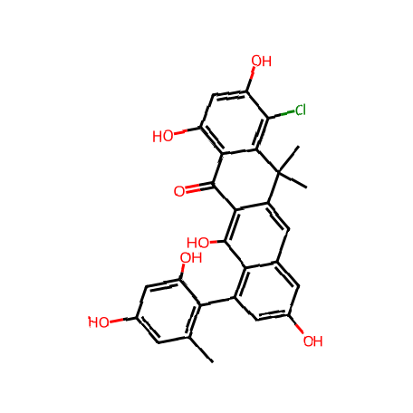 Cc1cc(O)cc(O)c1-c1cc(O)cc2cc3c(c(O)c12)C(=O)c1c(O)cc(O)c(Cl)c1C3(C)C